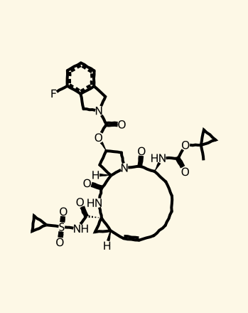 CC1(OC(=O)N[C@H]2CCCCC/C=C\[C@@H]3C[C@@]3(C(=O)NS(=O)(=O)C3CC3)NC(=O)[C@@H]3C[C@@H](OC(=O)N4Cc5cccc(F)c5C4)CN3C2=O)CC1